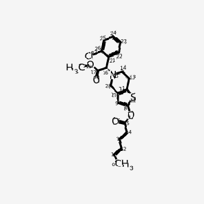 C/C=C/C=C/C(=O)Oc1cc2c(s1)CCN([C@H](C(=O)OC)c1ccccc1Cl)C2